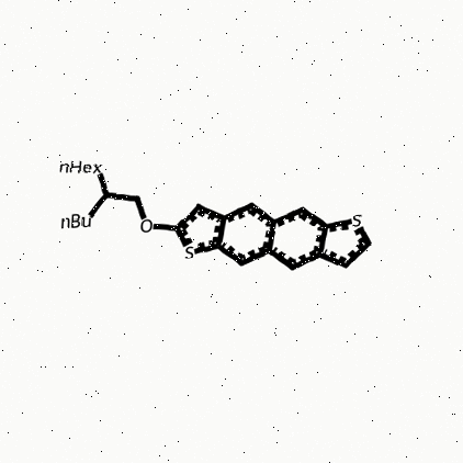 CCCCCCC(CCCC)COc1cc2cc3cc4sccc4cc3cc2s1